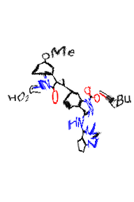 COc1ccc2c(c1)[C@]1(C[C@H]1c1ccc3c(Nc4ncnc5c4CCC5)nn(C(=O)OC(C)(C)C)c3c1)C(=O)N2C(=O)O